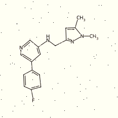 Cc1cc(CNc2[c]ncc(-c3ccc(F)cc3)c2)nn1C